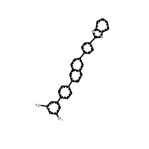 FC(F)(F)c1cc(-c2ccc(-c3ccc4cc(-c5ccc(-c6nc7ccccc7o6)cc5)ccc4c3)cc2)cc(C(F)(F)F)c1